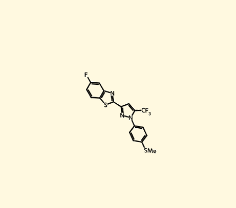 CSc1ccc(-n2nc(-c3nc4cc(F)ccc4s3)cc2C(F)(F)F)cc1